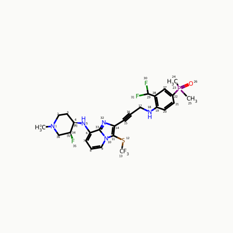 CN1CC[C@@H](Nc2cccn3c(SC(F)(F)F)c(C#CCNc4ccc(P(C)(C)=O)cc4C(F)F)nc23)[C@@H](F)C1